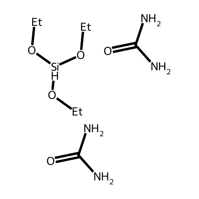 CCO[SiH](OCC)OCC.NC(N)=O.NC(N)=O